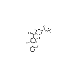 CC1CN(C(=O)OC(C)(C)C)CCN1C(=N)c1cc(Cl)c(-c2ccccc2F)nc1Cl